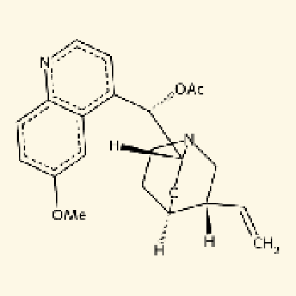 C=C[C@H]1CN2CC[C@H]1C[C@@H]2[C@@H](OC(C)=O)c1ccnc2ccc(OC)cc12